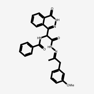 COc1cccc(C/C(C)=N/NC(=O)C(NC(=O)c2ccccc2)c2n[nH]c(=O)c3ccccc23)c1